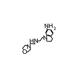 Nc1ccc2c(c1)N(CCNCCN1CCOCC1)CCC2